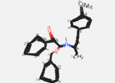 COc1ccc(CC(C)N=C(OCc2ccccc2)C(=O)c2ccccc2)cc1